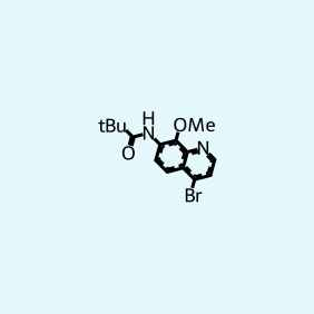 COc1c(NC(=O)C(C)(C)C)ccc2c(Br)ccnc12